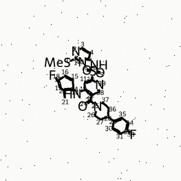 CSc1nccc(NS(=O)(=O)c2cc(Nc3ccc(F)cc3C)c(C(=O)N3CCC(c4ccc(F)cc4)CC3)cn2)n1